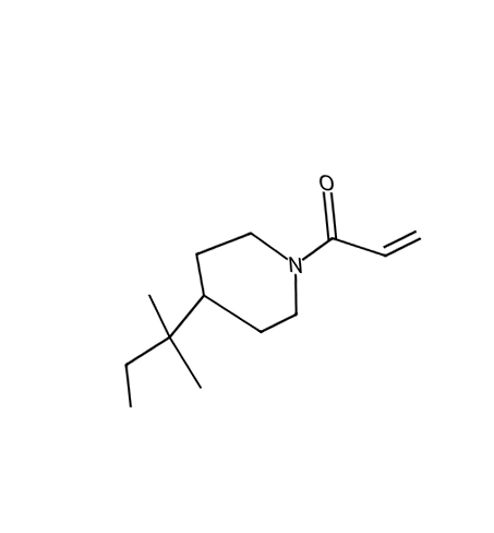 C=CC(=O)N1CCC(C(C)(C)CC)CC1